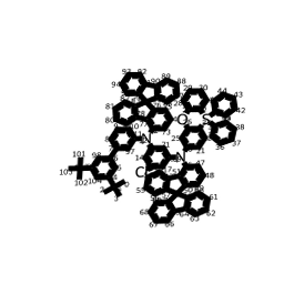 CC(C)(C)c1cc(-c2cccc(N(c3cc(Cl)cc(N(c4ccc5c(c4)Oc4ccccc4S5(c4ccccc4)c4ccccc4)c4cccc5c4-c4ccccc4C54c5ccccc5-c5ccccc54)c3)c3cccc4c3-c3ccccc3C43c4ccccc4-c4ccccc43)c2)cc(C(C)(C)C)c1